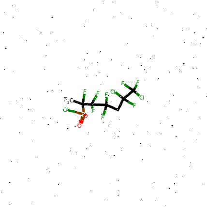 O=S(=O)(Cl)C(F)(C(F)(F)F)C(F)(F)C(F)(F)CC(F)(Cl)C(F)(F)Cl